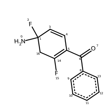 NC1(F)C=CC(C(=O)c2ccccc2)=C(F)C1